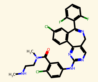 CNCCN(C)C(=O)c1cc(Nc2ncc3c(n2)-c2ccc(Cl)cc2C(c2c(F)cccc2F)=NC3)ccc1Cl